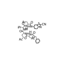 CC(=O)CCC(NC(=O)C(CC(C)=O)NC(=O)OCc1ccccc1)C(=O)NC(C(=O)NC(CC(C)=O)C(=O)Nc1ccc2nc(C#N)sc2c1)C(C)C